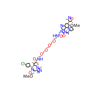 COC(=O)C[C@@H]1N=C(c2ccc(Cl)cc2)c2c(sc(C(=O)NCCOCCOCCOCCOCCNC(=O)Cn3c(=O)n([C@H](C)c4ccccn4)c4c5cc(OC)c(-c6c(C)noc6C)cc5ncc43)c2C)-n2c(C)nnc21